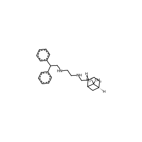 CC1(C)C2C[C@@H]1CC[C@H]2CNCCNCC(c1ccccc1)c1ccccc1